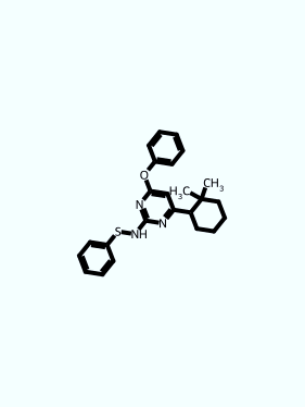 CC1(C)CCCCC1c1cc(Oc2ccccc2)nc(NSc2ccccc2)n1